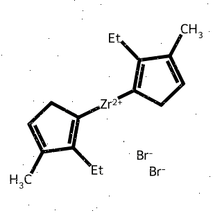 CCC1=[C]([Zr+2][C]2=C(CC)C(C)=CC2)CC=C1C.[Br-].[Br-]